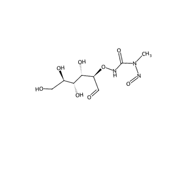 CN(N=O)C(=O)NO[C@@H](C=O)[C@@H](O)[C@H](O)[C@H](O)CO